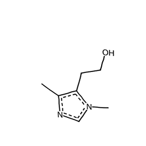 Cc1ncn(C)c1CCO